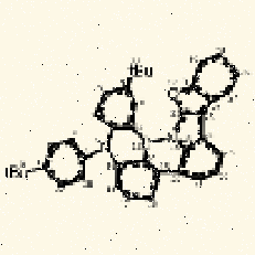 CC(C)(C)c1ccc(N2c3ccc(C(C)(C)C)cc3B3c4c(cccc42)-c2cccc4c5c6ccccc6oc5n3c24)cc1